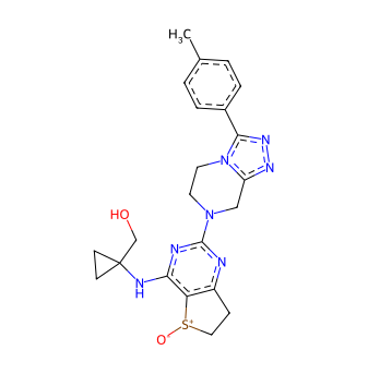 Cc1ccc(-c2nnc3n2CCN(c2nc4c(c(NC5(CO)CC5)n2)[S+]([O-])CC4)C3)cc1